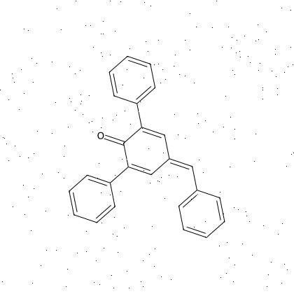 O=C1C(c2ccccc2)=CC(=Cc2ccccc2)C=C1c1ccccc1